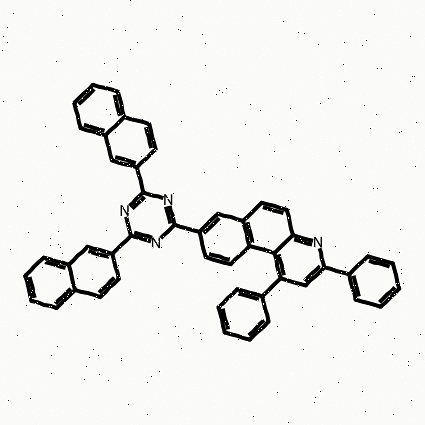 c1ccc(-c2cc(-c3ccccc3)c3c(ccc4cc(-c5nc(-c6ccc7ccccc7c6)nc(-c6ccc7ccccc7c6)n5)ccc43)n2)cc1